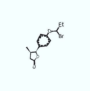 CCC(Br)Oc1ccc([C@H]2OC(=O)C[C@H]2C)cc1